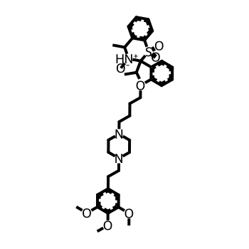 COc1cc(CCN2CCN(CCCCOc3ccccc3C3(C(C)C)[NH+]([O-])C(C)c4ccccc4S3(=O)=O)CC2)cc(OC)c1OC